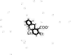 CCc1ccc2c(c1C(=O)[O-])Cc1ccccc1O2.[Cs+]